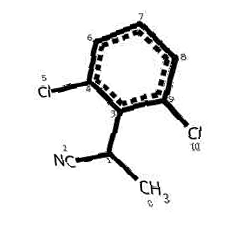 CC(C#N)c1c(Cl)cccc1Cl